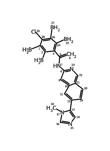 Bc1c(B)c(C(=C)Nc2cc3cc(-c4cncn4C)ccc3cn2)c(B)c(B)c1Cl